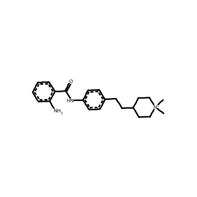 C[N+]1(C)CCC(CCc2ccc(NC(=O)c3ccccc3N)cc2)CC1